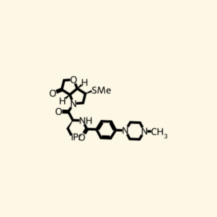 CS[C@H]1CN(C(=O)[C@H](CC(C)C)NC(=O)c2ccc(N3CCN(C)CC3)cc2)[C@@H]2C(=O)CO[C@H]12